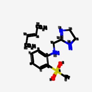 CC(C)S(=O)(=O)c1ccccc1NCC1=NCCN1.O=C(O)C=CC(=O)O